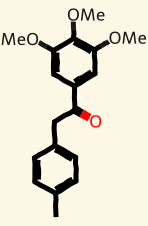 COc1cc(C(=O)Cc2ccc(C)cc2)cc(OC)c1OC